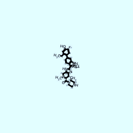 CCc1cc(O)c(F)cc1-c1ccc2c(-c3nc4c([nH]3)CN(C)[C@H](C(=O)N3CCNC[C@@H]3C)C4)n[nH]c2c1.Cl.Cl